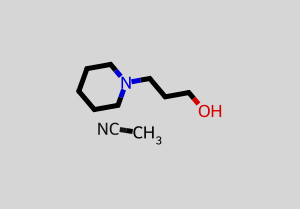 CC#N.OCCCN1CCCCC1